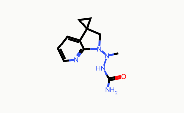 CN(NC(N)=O)N1CC2(CC2)c2cccnc21